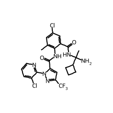 Cc1cc(Cl)cc(C(=O)NC(C)(N)C2CCC2)c1NC(=O)c1cc(C(F)(F)F)nn1-c1ncccc1Cl